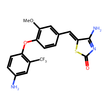 COc1cc(/C=C2\SC(=O)N=C2N)ccc1Oc1ccc(N)cc1C(F)(F)F